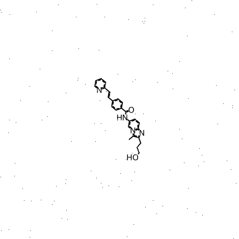 Cc1c(CCCO)nc2ccc(NC(=O)c3ccc(C=Cc4ccccn4)cc3)cn12